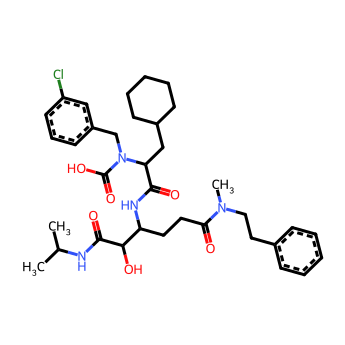 CC(C)NC(=O)C(O)C(CCC(=O)N(C)CCc1ccccc1)NC(=O)C(CC1CCCCC1)N(Cc1cccc(Cl)c1)C(=O)O